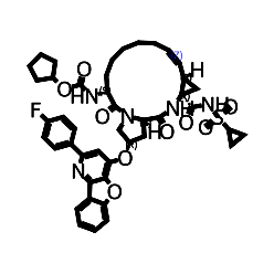 O=C(N[C@H]1CCCCC/C=C\[C@@H]2C[C@@]2(C(=O)NS(=O)(=O)C2CC2)NC(=O)[C@@H]2C[C@@H](Oc3cc(-c4ccc(F)cc4)nc4c3oc3ccccc34)CN2C1=O)OC1CCCC1